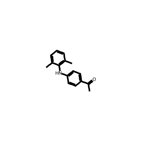 CC(=O)c1ccc(Nc2c(C)cccc2C)cc1